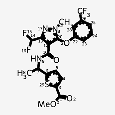 COC(=O)c1ccc(C(C)NC(=O)c2c(C(F)F)nn(C)c2Oc2cccc(C(F)(F)F)c2)s1